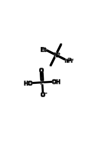 CCC[N+](C)(C)CC.O=P([O-])(O)O